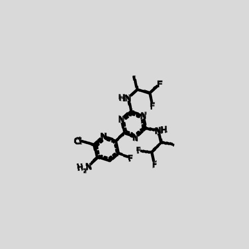 CC(Nc1nc(NC(C)C(F)F)nc(-c2nc(Cl)c(N)cc2F)n1)C(F)F